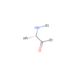 CCC[C@H](NCC)C(=O)CC